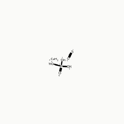 O=P(O)(O)O.[CaH2].[O]=[Ti]